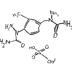 Cc1cc(N(N)C(N)=O)ccc1N(N)C(N)=O.O=S(=O)(O)O